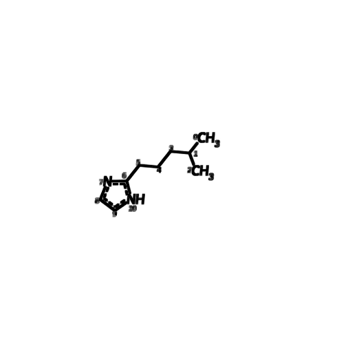 CC(C)CCCc1ncc[nH]1